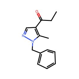 CCC(=O)c1cnn(Cc2ccccc2)c1C